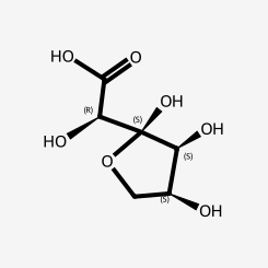 O=C(O)[C@H](O)[C@@]1(O)OC[C@H](O)[C@@H]1O